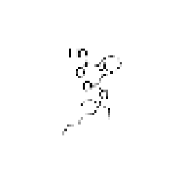 CCCCCC(CC)(CC)OC(=O)C1=C(C(=O)O)C2CCC1C2